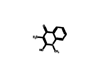 Cc1c(O)n(C)c2ccccc2c1=O